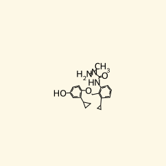 CN(N)C(=O)Nc1cccc(C2CC2)c1COc1ccc(O)cc1C1CC1